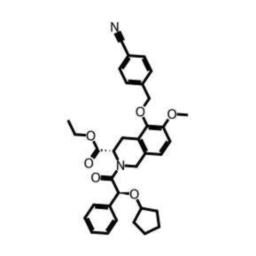 CCOC(=O)[C@@H]1Cc2c(ccc(OC)c2OCc2ccc(C#N)cc2)CN1C(=O)[C@@H](OC1CCCC1)c1ccccc1